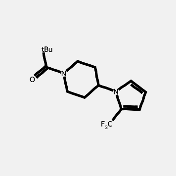 CC(C)(C)C(=O)N1CCC(n2cccc2C(F)(F)F)CC1